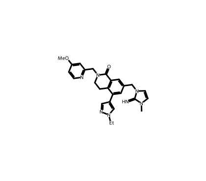 CCn1cc(-c2cc(Cn3ccn(C)c3=N)cc3c2CCN(Cc2cc(OC)ccn2)C3=O)cn1